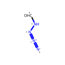 [N-]=[N+]=NNC=O